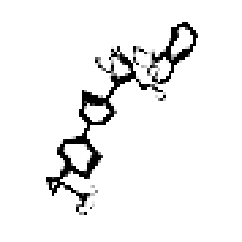 O=C(O)C1(c2ccc(-c3ccc(-c4oncc4CS(=O)(=O)Cc4ccccc4Cl)cc3)cc2)CC1